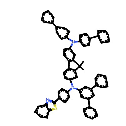 CC1(C)c2cc(N(c3ccc(-c4ccccc4)cc3)c3ccc(-c4ccccc4)cc3)ccc2-c2ccc(N(c3ccc(-c4nc5ccccc5s4)cc3)c3cc(-c4ccccc4)cc(-c4ccccc4)c3)cc21